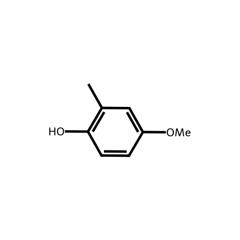 COc1ccc(O)c(C)c1